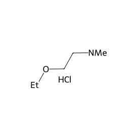 CCOCCNC.Cl